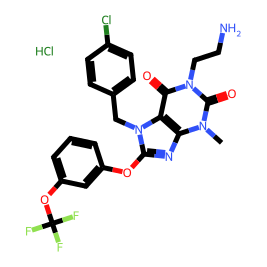 Cl.Cn1c(=O)n(CCN)c(=O)c2c1nc(Oc1cccc(OC(F)(F)F)c1)n2Cc1ccc(Cl)cc1